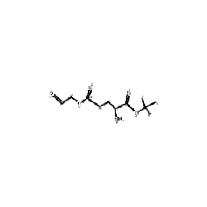 CC(C)(C)OC(=O)[C@@H](N)CCC(=O)OCC=O